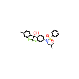 Cc1ccc(C(O)(c2ccc(N(CC(C)C)S(=O)(=O)c3ccccc3)cc2)C(F)(F)F)cc1